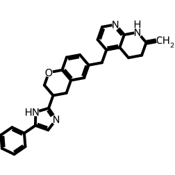 C=C1CCc2c(Cc3ccc4c(c3)CC(c3ncc(-c5ccccc5)[nH]3)CO4)ccnc2N1